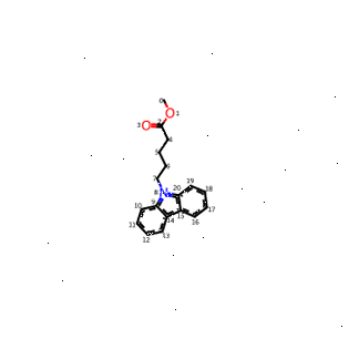 COC(=O)CCCCn1c2ccccc2c2ccccc21